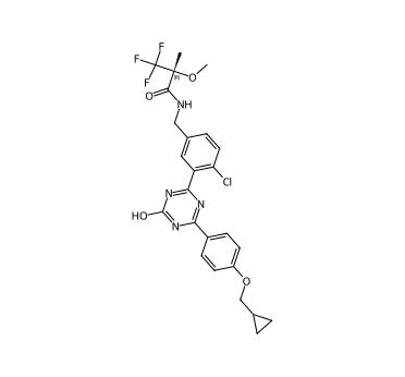 CO[C@](C)(C(=O)NCc1ccc(Cl)c(-c2nc(O)nc(-c3ccc(OCC4CC4)cc3)n2)c1)C(F)(F)F